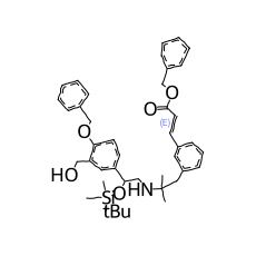 CC(C)(Cc1cccc(/C=C/C(=O)OCc2ccccc2)c1)NCC(O[Si](C)(C)C(C)(C)C)c1ccc(OCc2ccccc2)c(CO)c1